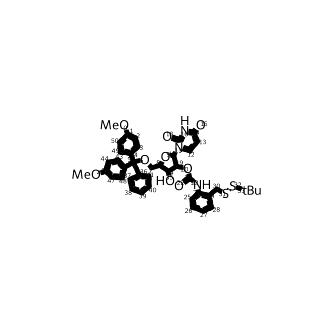 COc1ccc(C(OCC2OC(n3ccc(=O)[nH]c3=O)C(OC(=O)Nc3ccccc3CSSC(C)(C)C)C2O)(c2ccccc2)c2ccc(OC)cc2)cc1